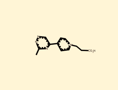 Cc1nncc(-c2cc[n+](CCC(=O)O)cc2)n1